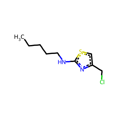 CCCCCNc1nc(CCl)cs1